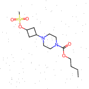 CCCCOC(=O)N1CCN(C2CC(OS(C)(=O)=O)C2)CC1